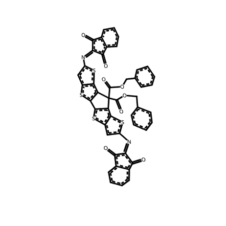 O=C(OCc1ccccc1)C1(C(=O)OCc2ccccc2)c2c(sc3cc(N=c4c(=O)c5ccccc5c4=O)sc23)-c2sc3cc(N=c4c(=O)c5ccccc5c4=O)sc3c21